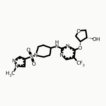 Cn1cc(S(=O)(=O)N2CCC(Nc3ncc(C(F)(F)F)c(O[C@@H]4COC[C@@H]4O)n3)CC2)cn1